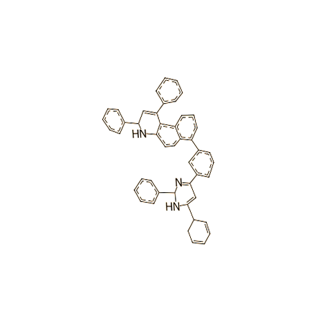 C1=CCC(C2=CC(c3cccc(-c4cccc5c6c(ccc45)NC(c4ccccc4)C=C6c4ccccc4)c3)=NC(c3ccccc3)N2)C=C1